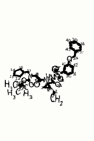 C=C[C@@H]1C[C@]1(NC(=O)CN(CC1CCCC1)C(=O)OC(C)(C)C)C(=O)NS(=O)(=O)c1cccc(OCc2ccccc2)c1